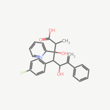 C=C(c1ccccc1)C(O)C(c1ccc(F)cc1)C(O)(c1ccccn1)C(C)C(=O)O